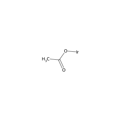 CC(=O)[O][Ir]